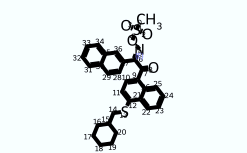 CS(=O)(=O)O/N=C(/C(=O)c1ccc(SCC2CCCCC2)c2ccccc12)c1ccc2ccccc2c1